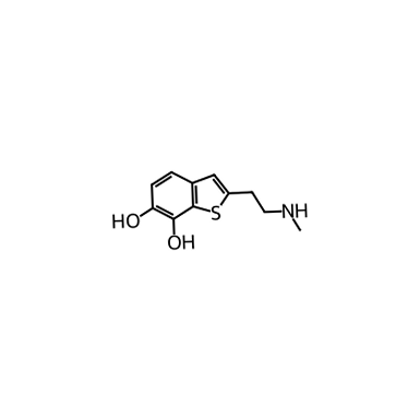 CNCCc1cc2ccc(O)c(O)c2s1